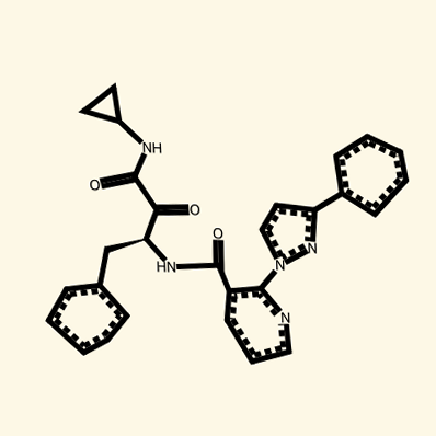 O=C(NC1CC1)C(=O)[C@H](Cc1ccccc1)NC(=O)c1cccnc1-n1ccc(-c2ccccc2)n1